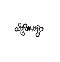 NC(=O)C1(CCCCn2ccc3c(NC(=O)c4ccccc4N4CCOCC4)cccc32)c2ccccc2-c2ccccc21